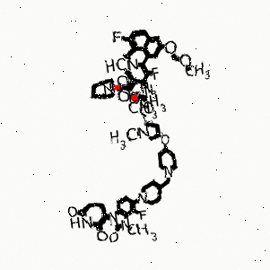 C#Cc1c(F)ccc2cc(OCOC)cc(-c3ncc4c(N5CC6CCC(C5)N6C(=O)OC(C)(C)C)nc(OC[C@@H]5C[C@@H](OC6CCN(CC7CCN(c8ccc9c(c8F)n(C)c(=O)n9C8CCC(=O)NC8=O)CC7)CC6)CN5C)nc4c3F)c12